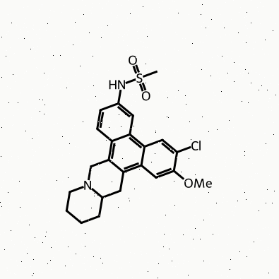 COc1cc2c3c(c4ccc(NS(C)(=O)=O)cc4c2cc1Cl)CN1CCCCC1C3